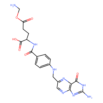 NCOC(=O)CCC(NC(=O)c1ccc(NCc2cnc3nc(N)[nH]c(=O)c3n2)cc1)C(=O)O